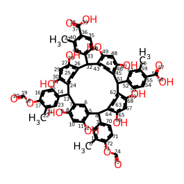 Cc1cc(C2c3cc(c(O)cc3O)C(c3ccc(OC=O)c(C)c3)c3cc(c(O)cc3O)C(c3ccc(C(=O)O)c(C)c3)c3cc(c(O)cc3O)C(c3ccc(C(=O)O)c(C)c3)c3cc2c(O)cc3O)ccc1OC=O